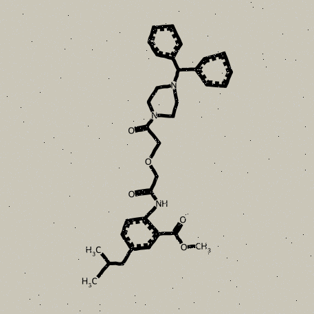 COC(=O)c1cc(CC(C)C)ccc1NC(=O)COCC(=O)N1CCN(C(c2ccccc2)c2ccccc2)CC1